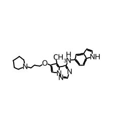 Cc1c(OCCCN2CCCCC2)cn2ncnc(Nc3ccc4[nH]ccc4c3)c12